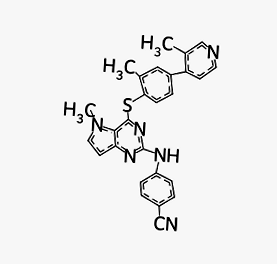 Cc1cc(-c2ccncc2C)ccc1Sc1nc(Nc2ccc(C#N)cc2)nc2ccn(C)c12